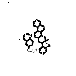 CC1(C)Cc2c(ccc3c2ccc2ccccc23)CC1c1ccccc1Br.O=C(O)c1ccc2ncccc2c1